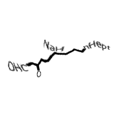 CCCCCCCCCCCCCC(=O)CC=O.[NaH]